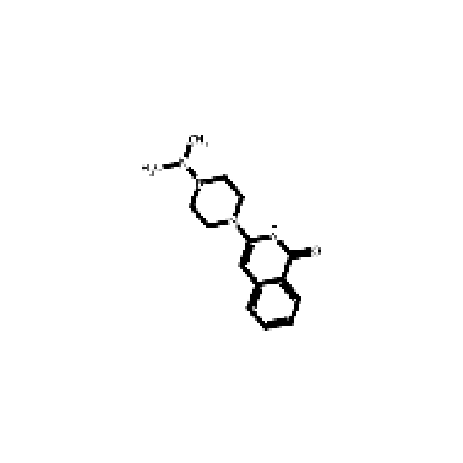 CN(C)N1CCN(c2cc3ccccc3c(=O)[nH]2)CC1